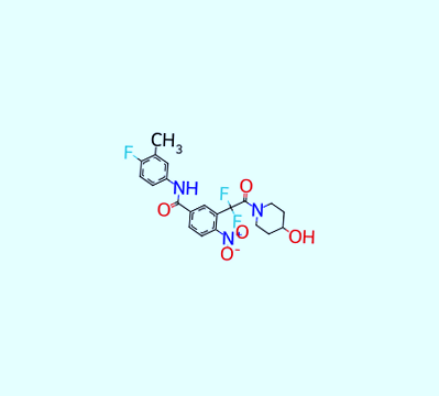 Cc1cc(NC(=O)c2ccc([N+](=O)[O-])c(C(F)(F)C(=O)N3CCC(O)CC3)c2)ccc1F